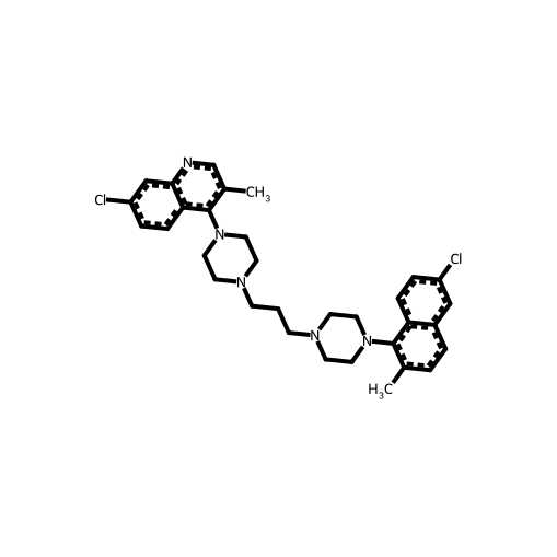 Cc1ccc2cc(Cl)ccc2c1N1CCN(CCCN2CCN(c3c(C)cnc4cc(Cl)ccc34)CC2)CC1